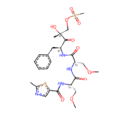 COC[C@H](NC(=O)c1cnc(C)s1)C(=O)N[C@@H](COC)C(=O)N[C@@H](Cc1ccccc1)C(=O)[C@](C)(O)COS(C)(=O)=O